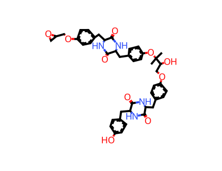 CC(C)(Oc1ccc(CC2NC(=O)C(Cc3ccc(OCC4CO4)cc3)NC2=O)cc1)C(O)COc1ccc(CC2NC(=O)C(Cc3ccc(O)cc3)NC2=O)cc1